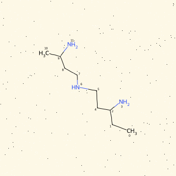 CCC(N)CCNCCC(C)N